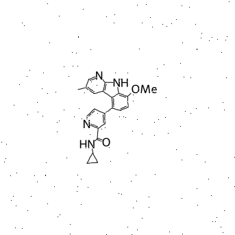 COc1ccc(-c2ccnc(C(=O)NC3CC3)c2)c2c1[nH]c1ncc(C)cc12